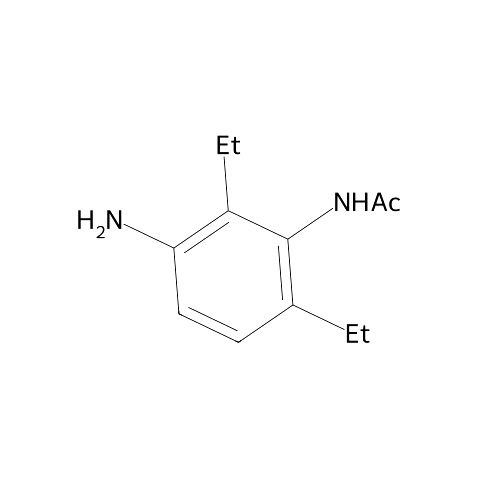 CCc1ccc(N)c(CC)c1NC(C)=O